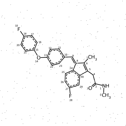 CNC(=O)CC1=C(C)/C(=C/c2ccc(Oc3ccc(F)cc3)cc2)c2ccc(F)cc21